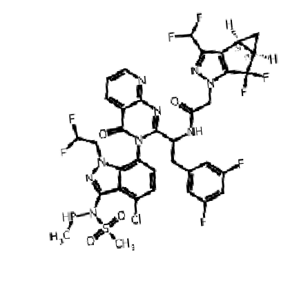 CPN(c1nn(CC(F)F)c2c(-n3c(C(Cc4cc(F)cc(F)c4)NC(=O)Cn4nc(C(F)F)c5c4C(F)(F)[C@@H]4C[C@H]54)nc4ncccc4c3=O)ccc(Cl)c12)S(C)(=O)=O